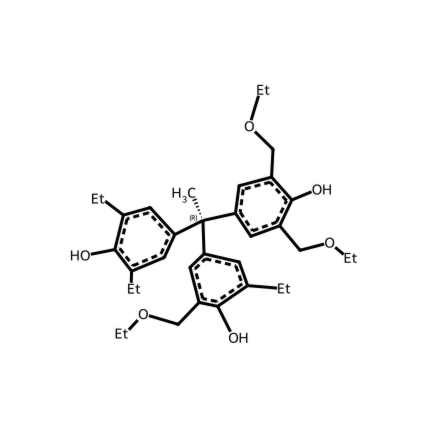 CCOCc1cc([C@@](C)(c2cc(CC)c(O)c(CC)c2)c2cc(COCC)c(O)c(COCC)c2)cc(CC)c1O